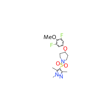 COc1c(F)cc(OC2CCN(S(=O)(=O)c3c(C)nn(C)c3C)CC2)cc1F